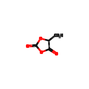 O=C1OC(=O)C(C(=O)O)O1